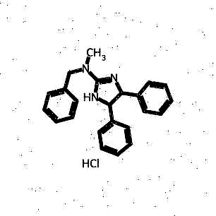 CN(Cc1ccccc1)C1=NC(c2ccccc2)C(c2ccccc2)N1.Cl